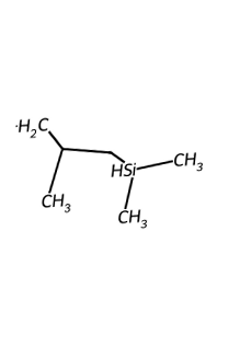 [CH2]C(C)C[SiH](C)C